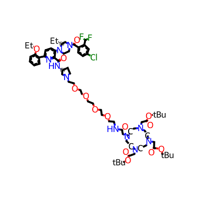 CCOc1ccccc1-c1ccc(N2CCN(C(=O)c3ccc(Cl)cc3C(F)F)C[C@H]2CC)c(C(=O)N[C@@H]2CCN(CCOCCOCCOCCOCCNC(=O)CN3CCN(CC(=O)OC(C)(C)C)CCN(CC(=O)OC(C)(C)C)CCN(CC(=O)OC(C)(C)C)CC3)C2)n1